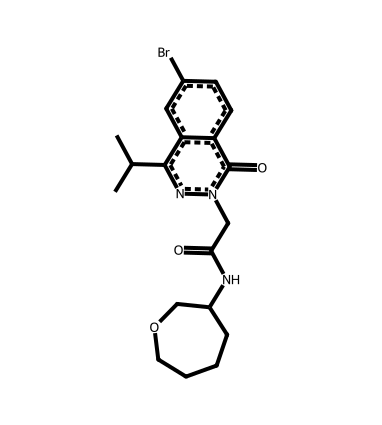 CC(C)c1nn(CC(=O)NC2CCCCOC2)c(=O)c2ccc(Br)cc12